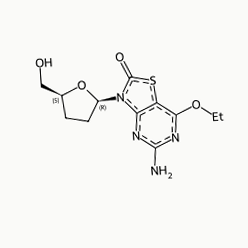 CCOc1nc(N)nc2c1sc(=O)n2[C@H]1CC[C@@H](CO)O1